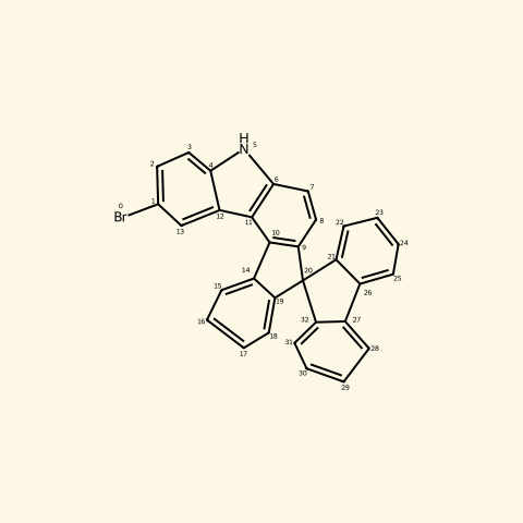 Brc1ccc2[nH]c3ccc4c(c3c2c1)-c1ccccc1C41c2ccccc2-c2ccccc21